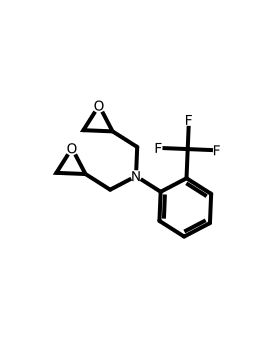 FC(F)(F)c1ccccc1N(CC1CO1)CC1CO1